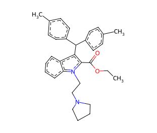 CCOC(=O)c1c(C(c2ccc(C)cc2)c2ccc(C)cc2)c2ccccc2n1CCN1CCCC1